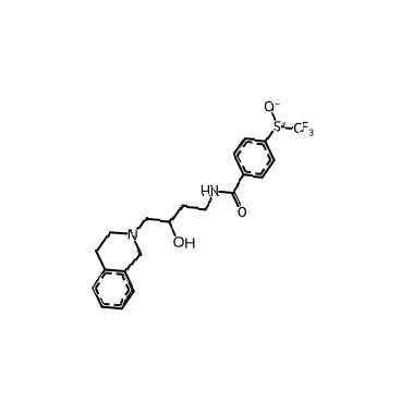 O=C(NCCC(O)CN1CCc2ccccc2C1)c1ccc([S+]([O-])C(F)(F)F)cc1